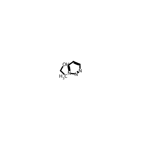 CCO.c1cnnnc1